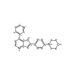 c1cncc(-c2ccnc3cc(-c4ccc(N5CCOCC5)cc4)oc23)c1